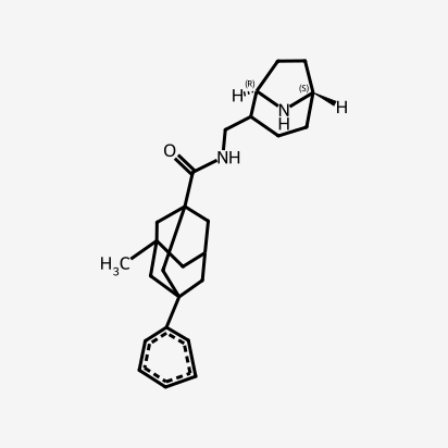 CC12CC3CC(C(=O)NCC4CC[C@H]5CC[C@H]4N5)(C1)CC(c1ccccc1)(C3)C2